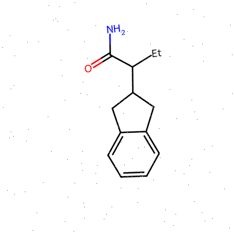 CCC(C(N)=O)C1Cc2ccccc2C1